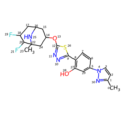 Cc1ccn(-c2ccc(-c3nnc(OC4CC5CC(F)C(F)C(C)(C4)N5)s3)c(O)c2)n1